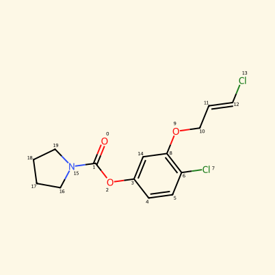 O=C(Oc1ccc(Cl)c(OC/C=C/Cl)c1)N1CCCC1